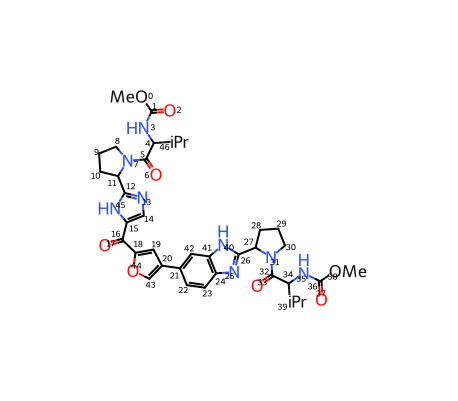 COC(=O)NC(C(=O)N1CCCC1c1ncc(C(=O)c2cc(-c3ccc4nc(C5CCCN5C(=O)C(NC(=O)OC)C(C)C)[nH]c4c3)co2)[nH]1)C(C)C